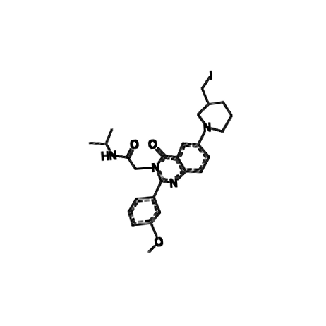 COc1cccc(-c2nc3ccc(N4CCCC(CI)C4)cc3c(=O)n2CC(=O)NC(C)C)c1